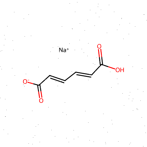 O=C([O-])/C=C/C=C/C(=O)O.[Na+]